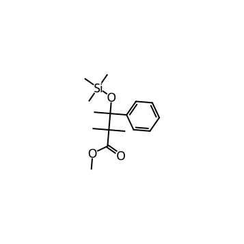 COC(=O)C(C)(C)C(C)(O[Si](C)(C)C)c1ccccc1